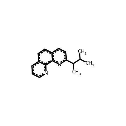 CC(C)C(C)c1ccc2ccc3cccnc3c2n1